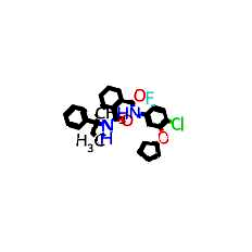 CCC(C)(NC(=O)C1=C(C(=O)Nc2cc(OC3CCCC3)c(Cl)cc2F)CCCC1)c1ccccc1